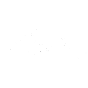 Cc1c2c(nn1C1CCOCC1)OCCCn1nc(C3CC3)c3cnc(nc31)N2